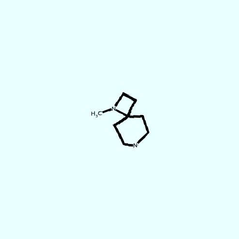 CN1CCC12CC[N]CC2